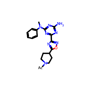 CC(=O)N1CCC(c2nc(-c3nc(N)nc(N(C)c4ccccc4)n3)no2)CC1